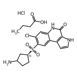 CCCC(=O)O.Cl.NC1CC[C@H](S(=O)(=O)c2cc3c(cc2Cl)[nH]c(=O)c2[nH]ccc23)C1